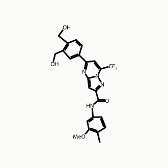 COc1cc(NC(=O)c2cc3nc(-c4ccc(CO)c(CO)c4)cc(C(F)(F)F)n3n2)ccc1C